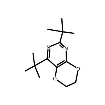 CC(C)(C)c1nc2c(c(C(C)(C)C)n1)OCCO2